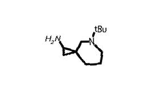 CC(C)(C)N1CCCC2(CC2N)C1